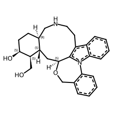 OC[C@@H]1[C@H]2C[C@@H]3OCc4ccccc4-n4c3c(c3ccccc34)CCNC[C@@H]2CC[C@@H]1O